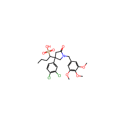 CCCC(C1(c2ccc(Cl)c(Cl)c2)CC(=O)N(Cc2cc(OC)c(OC)c(OC)c2)C1)S(=O)(=O)O